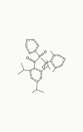 Cc1cccc(C)c1C(=O)P(=O)(C(=O)c1c(C(C)C)cc(C(C)C)cc1C(C)C)c1ccccc1